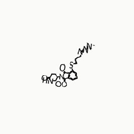 [N-]=[N+]=NCCCSc1cccc2c1C(=O)N(C1CCC(=O)NC1=O)C2=O